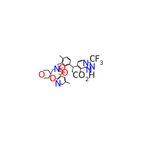 Cc1cnc2c(c1)S(=O)(=O)N(Cc1cc([C@H](CC(=O)O)c3ccn4c(C(F)(F)F)nnc4c3C)ccc1C)CC1(CCOCC1)O2